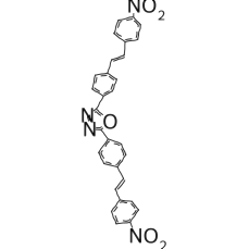 O=[N+]([O-])c1ccc(C=Cc2ccc(-c3nnc(-c4ccc(C=Cc5ccc([N+](=O)[O-])cc5)cc4)o3)cc2)cc1